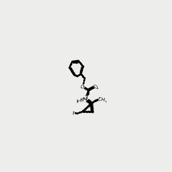 CC1(NC(=O)OCc2ccccc2)CC1F